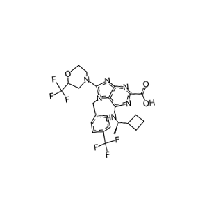 C[C@@H](Nc1nc(C(=O)O)nc2nc(N3CCOC(C(F)(F)F)C3)n(Cc3ccc(C(F)(F)F)cc3)c12)C1CCC1